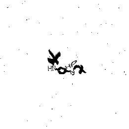 C=C(Nc1ccc(N(C)C(=P)C(C)(C)C)cc1)C(C)(C)C